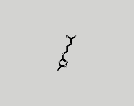 Cc1nnc(SCCC=C(F)F)o1